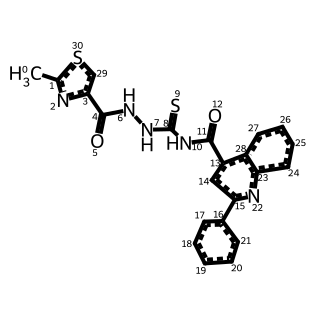 Cc1nc(C(=O)NNC(=S)NC(=O)c2cc(-c3ccccc3)nc3ccccc23)cs1